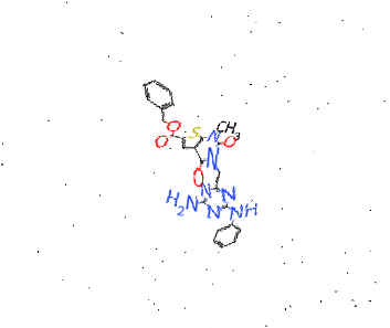 Cn1c(=O)n(Cc2nc(N)nc(Nc3ccccc3)n2)c(=O)c2cc(C(=O)OCc3ccccc3)sc21